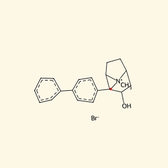 C[N+]1(Cc2ccc(-c3ccccc3)cc2)C2CCC1CC(O)C2.[Br-]